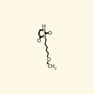 C=COCCCCCCn1c(=O)cc[nH]c1=O